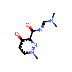 CN(C)C=NC(=O)c1nn(C)ccc1=O